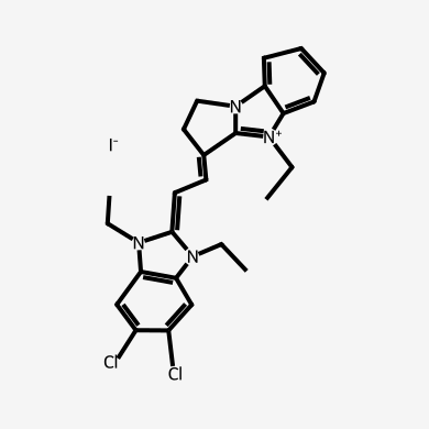 CCN1C(=CC=C2CCn3c2[n+](CC)c2ccccc23)N(CC)c2cc(Cl)c(Cl)cc21.[I-]